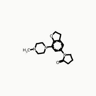 CN1CCN(c2cc(N3CCCC3=O)cc3c2OCC3)CC1